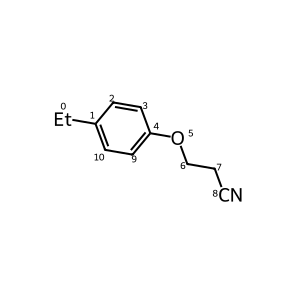 CCc1ccc(OCCC#N)cc1